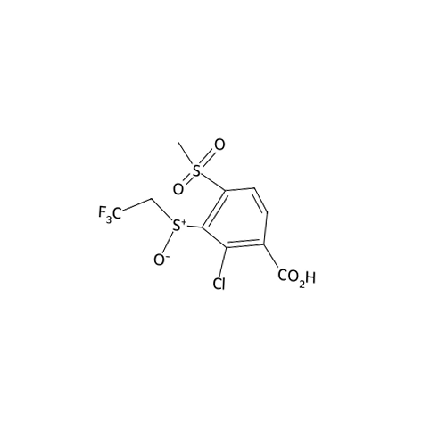 CS(=O)(=O)c1ccc(C(=O)O)c(Cl)c1[S+]([O-])CC(F)(F)F